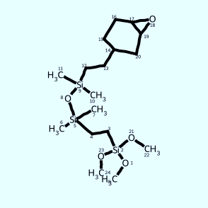 CO[Si](CC[Si](C)(C)O[Si](C)(C)CCC1CCC2OC2C1)(OC)OC